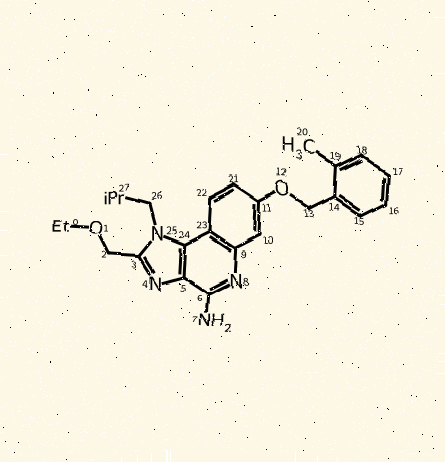 CCOCc1nc2c(N)nc3cc(OCc4ccccc4C)ccc3c2n1CC(C)C